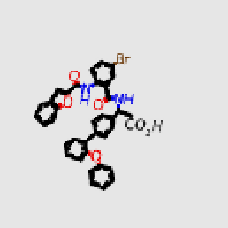 O=C(O)CC(NC(=O)c1cc(Br)ccc1NC(=O)c1cc2ccccc2o1)c1ccc(-c2ccccc2Oc2ccccc2)cc1